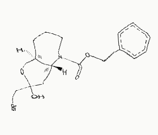 O=C(OCc1ccccc1)N1CCC[C@@H]2OC(O)(CBr)C[C@H]21